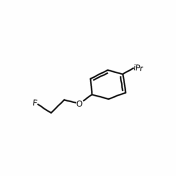 CC(C)C1=CCC(OCCF)C=C1